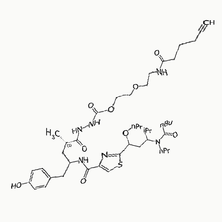 C#CCCCC(=O)NCCOCCOC(=O)NNC(=O)[C@@H](C)CC(Cc1ccc(O)cc1)NC(=O)c1csc(C(CC(C(C)C)N(CCC)C(=O)CCCC)OCCC)n1